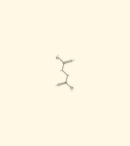 CCC(=O)CCC(=O)CC